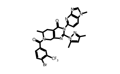 Cc1cc(C)n(-c2nc3c(c(=O)n2-c2ccc4c(ncn4C)n2)CC(C)N(C(=O)c2ccc(Br)c(C(F)(F)F)c2)C3)n1